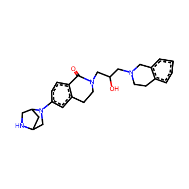 O=C1c2ccc(N3CC4CC3CN4)cc2CCN1CC(O)CN1CCc2ccccc2C1